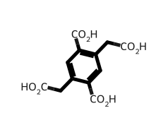 O=C(O)Cc1cc(C(=O)O)c(CC(=O)O)cc1C(=O)O